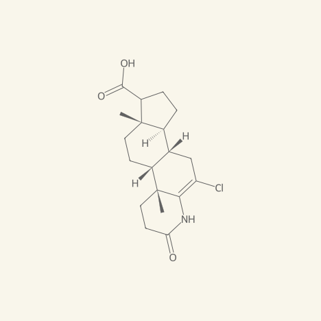 C[C@]12CCC(=O)NC1=C(Cl)C[C@@H]1[C@H]2CC[C@]2(C)C(C(=O)O)CC[C@@H]12